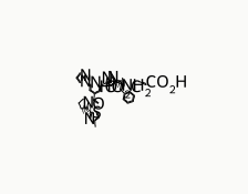 Cc1csc([C@H]2CCCN2C(=O)c2cc(-c3nnc([C@](C)(N)Cc4ccccc4)o3)nc(-n3cccn3)c2)n1.O=C(O)C=CC(=O)O